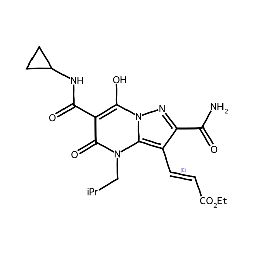 CCOC(=O)/C=C/c1c(C(N)=O)nn2c(O)c(C(=O)NC3CC3)c(=O)n(CC(C)C)c12